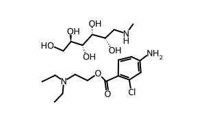 CCN(CC)CCOC(=O)c1ccc(N)cc1Cl.CNC[C@H](O)[C@@H](O)[C@H](O)[C@H](O)CO